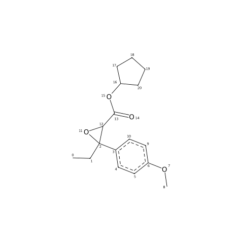 CCC1(c2ccc(OC)cc2)OC1C(=O)OC1CCCC1